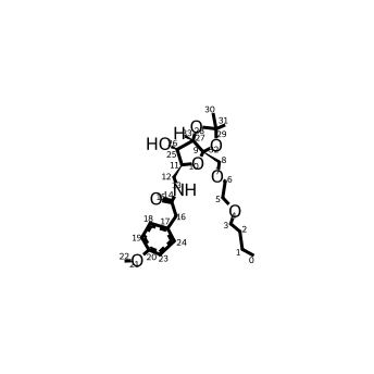 CCCCOCCOC[C@@]12O[C@@H](CNC(=O)Cc3ccc(OC)cc3)[C@@H](O)[C@@H]1OC(C)(C)O2